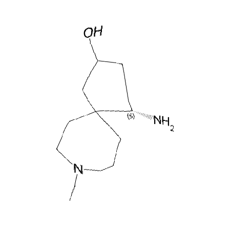 CN1CCC2(CC1)CC(O)C[C@@H]2N